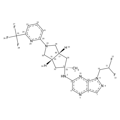 C[C@@]1(Nc2cnc3cnn(CC(F)F)c3n2)C[C@H]2CN(c3cccc(C(F)(F)F)n3)C[C@H]2C1